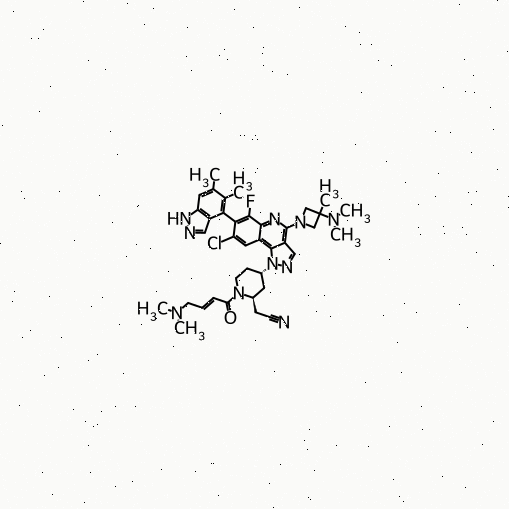 Cc1cc2[nH]ncc2c(-c2c(Cl)cc3c(nc(N4CC(C)(N(C)C)C4)c4cnn([C@H]5CCN(C(=O)/C=C/CN(C)C)[C@H](CC#N)C5)c43)c2F)c1C